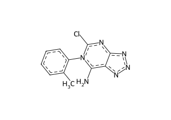 Cc1ccccc1-n1c(Cl)nc2nnnc-2c1N